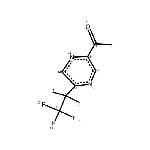 CC(=O)c1cnc(C(C)(C)C(F)(F)F)cn1